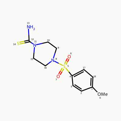 COc1ccc(S(=O)(=O)N2CCN(C(N)=S)CC2)cc1